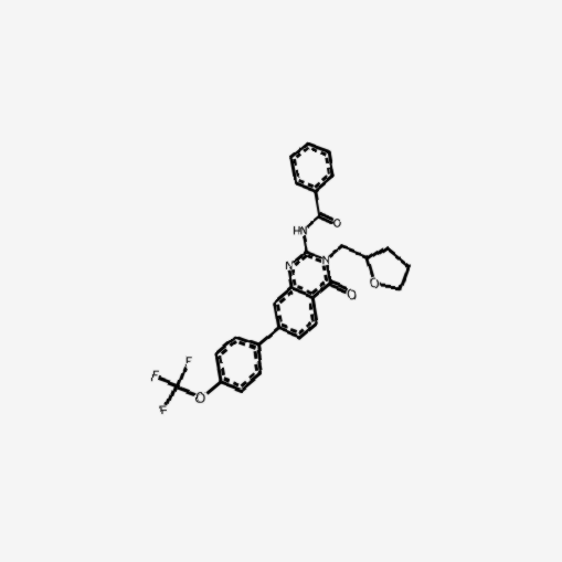 O=C(Nc1nc2cc(-c3ccc(OC(F)(F)F)cc3)ccc2c(=O)n1CC1CCCO1)c1ccccc1